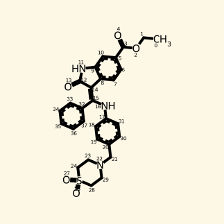 CCOC(=O)c1ccc2c(c1)NC(=O)C2=C(Nc1ccc(CN2CCS(=O)(=O)CC2)cc1)c1ccccc1